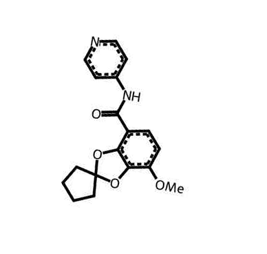 COc1ccc(C(=O)Nc2ccncc2)c2c1OC1(CCCC1)O2